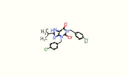 CC(C)c1nc2c([nH]1)c(=O)n(Cc1ccc(Cl)cc1)c(=O)n2Cc1ccc(Cl)cc1